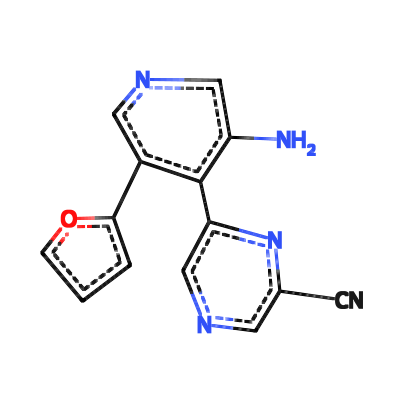 N#Cc1cncc(-c2c(N)cncc2-c2ccco2)n1